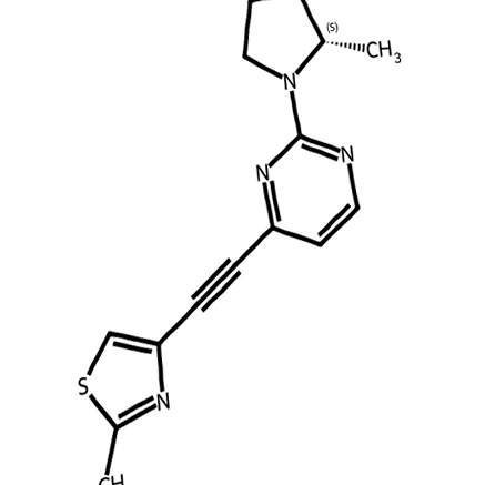 Cc1nc(C#Cc2ccnc(N3CCC[C@@H]3C)n2)cs1